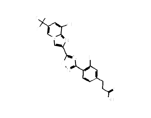 O=C(O)CCc1ccc(-c2noc(-c3cn4cc(C(F)(F)F)cc(Cl)c4n3)n2)c(F)c1